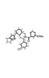 COc1cccc(C(=O)N(Cc2cccc(-c3cn4c(n3)CCC4)c2)C(C)c2cccc(Cl)c2)c1